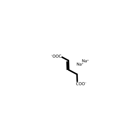 O=C([O-])/C=C/CC(=O)[O-].[Na+].[Na+]